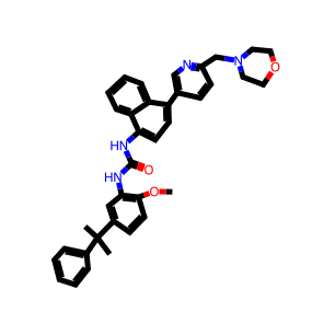 COc1ccc(C(C)(C)c2ccccc2)cc1NC(=O)Nc1ccc(-c2ccc(CN3CCOCC3)nc2)c2ccccc12